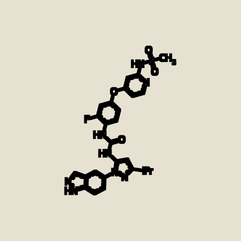 CC(C)c1cc(NC(=O)Nc2ccc(Oc3ccnc(NS(C)(=O)=O)c3)cc2F)n(-c2ccc3[nH]ncc3c2)n1